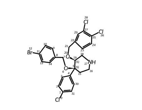 Clc1ccc([C@@]2(OCc3ccc(Br)cc3)CCNC[C@@H]2OCc2ccc(Cl)c(Cl)c2)cc1